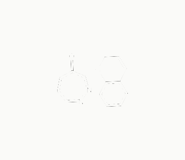 C1=Cc2ccccc2OC1.O=c1cccnnc1